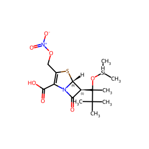 C[SiH](C)OC(C)([C@H]1C(=O)N2C(C(=O)O)=C(CO[N+](=O)[O-])S[C@H]12)C(C)(C)C